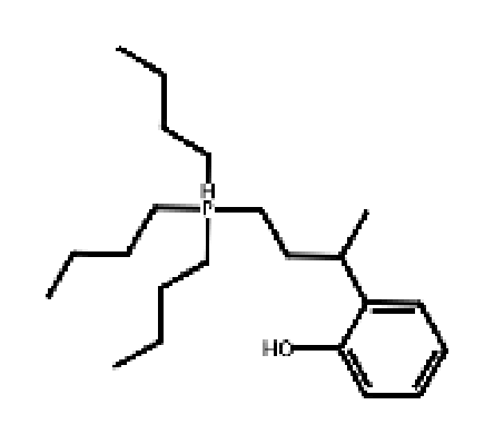 CCCC[PH](CCCC)(CCCC)CCC(C)c1ccccc1O